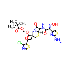 CC(C)(C)C(=O)OCOC(=O)C1(C=Cc2scnc2Cl)CS[C@@H]2C(NC(=O)C(=NO)c3csc(N)n3)C(=O)N2C1